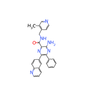 Cc1cnccc1CNC(=O)c1nc(-c2ccc3ncccc3c2)c(-c2ccccc2)nc1N